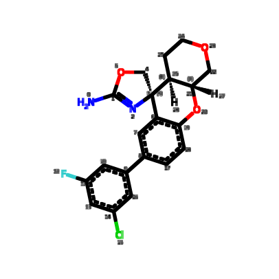 NC1=N[C@]2(CO1)c1cc(-c3cc(F)cc(Cl)c3)ccc1O[C@H]1COCC[C@@H]12